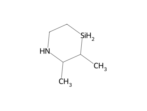 CC1NCC[SiH2]C1C